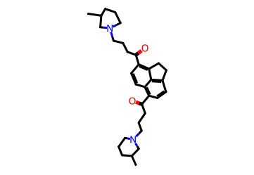 CC1CCCN(CCCC(=O)c2ccc3c(C(=O)CCCN4CCCC(C)C4)ccc4c3c2CC4)C1